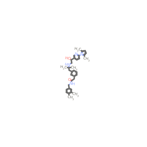 Cc1ccc(CNC(=O)Cc2cccc(CC(C)(C)NC[C@@H](O)c3ccc(-n4c(C)ccc4C)nc3)c2)cc1C